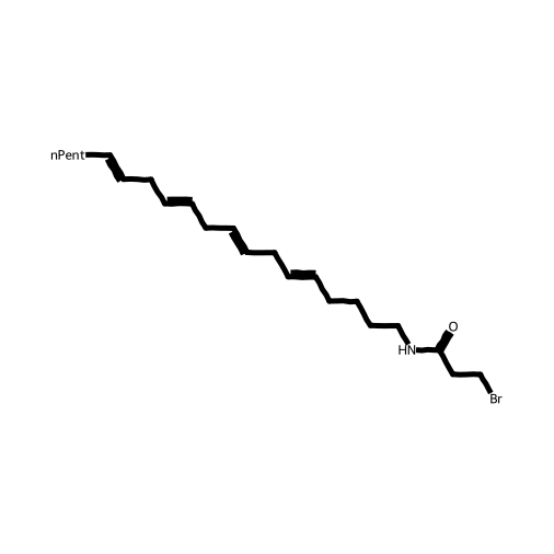 CCCCCC=CCC=CCC=CCC=CCCCCNC(=O)CCBr